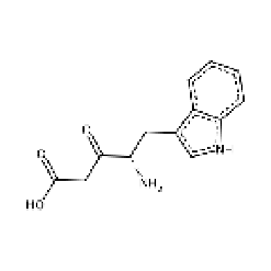 N[C@@H](Cc1c[nH]c2ccccc12)C(=O)CC(=O)O